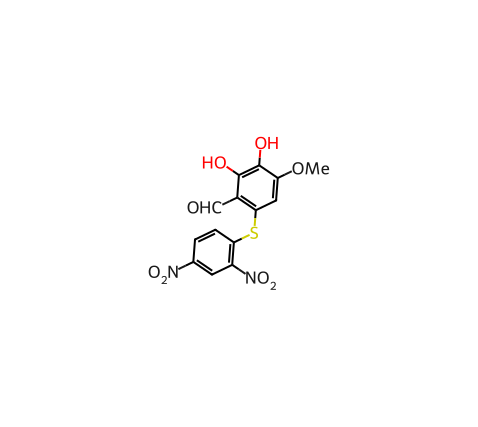 COc1cc(Sc2ccc([N+](=O)[O-])cc2[N+](=O)[O-])c(C=O)c(O)c1O